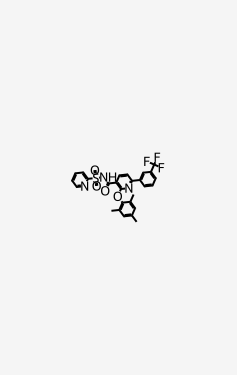 Cc1cc(C)c(Oc2nc(-c3cccc(C(F)(F)F)c3)ccc2C(=O)NS(=O)(=O)c2ccccn2)c(C)c1